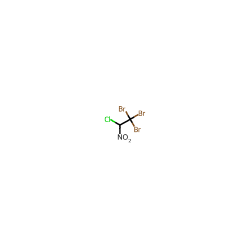 O=[N+]([O-])C(Cl)C(Br)(Br)Br